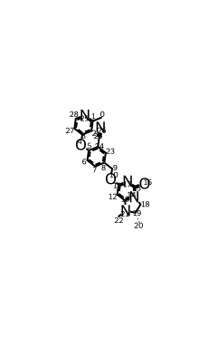 Cc1cc(Oc2ccc(COc3cc4n(c(=O)n3)C[C@H](C)N4C)cc2C#N)ccn1